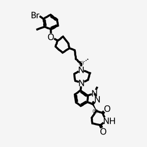 Cc1c(Br)cccc1OC1CCC(CC[C@H](C)N2CCN(c3cccc4c([C@@H]5CCC(=O)NC5=O)nn(C)c34)CC2)CC1